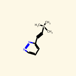 C[Si](C)(C)C#Cc1cccnn1